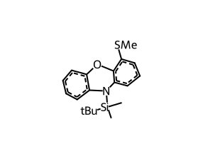 CSc1cccc2c1Oc1ccccc1N2[Si](C)(C)C(C)(C)C